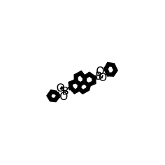 c1ccc2c(c1)OB(c1cc3ccc4cc(B5Oc6ccccc6O5)cc5ccc(c1)c3c45)O2